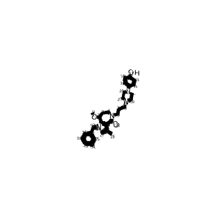 COC1CCN(CCCN2CCN(c3ccc(O)cc3)CC2)C(=O)c2c(C)cn(Cc3ccccc3)c21